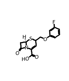 O=C(O)C1=CC(COc2cccc(F)c2)S[C@@H]2CC(=O)N12